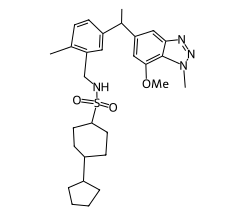 COc1cc(C(C)c2ccc(C)c(CNS(=O)(=O)C3CCC(C4CCCC4)CC3)c2)cc2nnn(C)c12